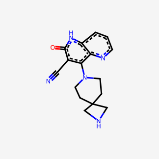 N#Cc1c(N2CCC3(CC2)CNC3)c2ncccc2[nH]c1=O